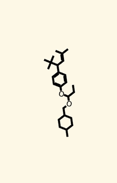 CCC(OCC1CCC(C)CC1)Oc1ccc(C(C=C(C)C)C(C)(C)C)cc1